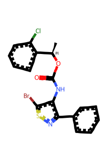 C[C@@H](OC(=O)Nc1c(-c2ccccc2)nsc1Br)c1ccccc1Cl